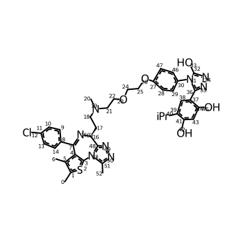 Cc1sc2c(c1C)C(c1ccc(Cl)cc1)=N[C@@H](CCN(C)CCOCCOc1ccc(-n3c(O)nnc3-c3cc(C(C)C)c(O)cc3O)cc1)c1nnc(C)n1-2